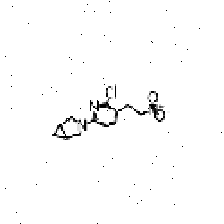 O=[N+]([O-])CCc1ccc(N2CC3CC3C2)nc1Cl